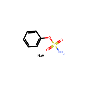 NS(=O)(=O)Oc1ccccc1.[NaH]